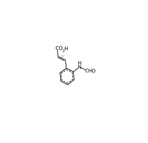 O=CNc1ccccc1/C=C/C(=O)O